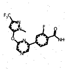 Cn1nc(C(F)(F)F)cc1Oc1cncc(-c2ccc(C([NH])=O)c(F)c2)n1